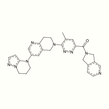 Cc1cc(C(=O)N2Cc3ccncc3C2)nnc1N1CCc2ncc(N3CCCn4nccc43)cc2C1